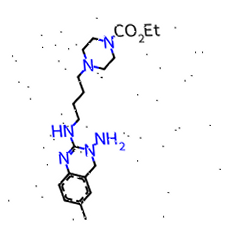 CCOC(=O)N1CCN(CCCCNC2=Nc3ccc(C)cc3CN2N)CC1